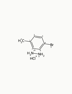 Cc1ccc(Br)cc1.Cl.NN